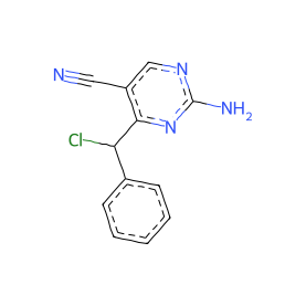 N#Cc1cnc(N)nc1C(Cl)c1ccccc1